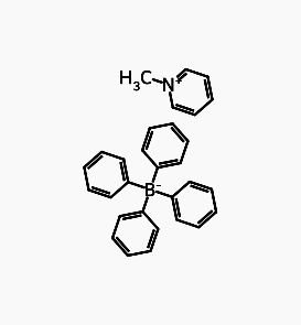 C[n+]1ccccc1.c1ccc([B-](c2ccccc2)(c2ccccc2)c2ccccc2)cc1